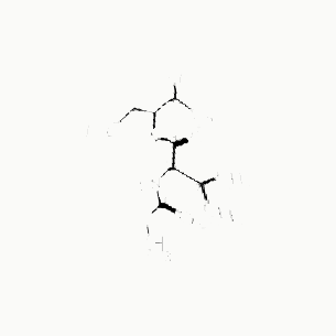 CC[C@H](NC(=O)C(NC(=O)OC)C(C)C)C(C)C